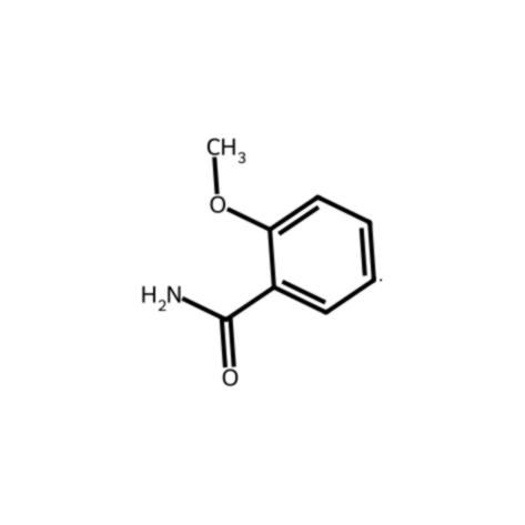 COc1cc[c]cc1C(N)=O